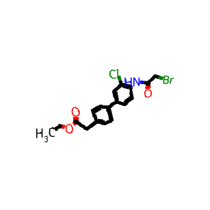 CCOC(=O)Cc1ccc(-c2ccc(NC(=O)CBr)c(Cl)c2)cc1